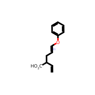 C=CC(C/C=C/Oc1ccccc1)C(=O)O